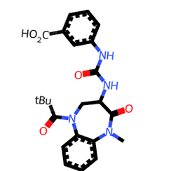 CN1C(=O)C(NC(=O)Nc2cccc(C(=O)O)c2)CN(C(=O)C(C)(C)C)c2ccccc21